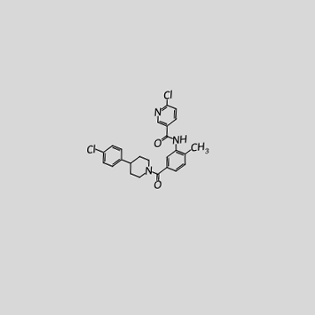 Cc1ccc(C(=O)N2CCC(c3ccc(Cl)cc3)CC2)cc1NC(=O)c1ccc(Cl)nc1